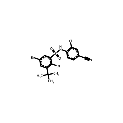 CC(C)(C)c1cc(Br)cc(S(=O)(=O)Nc2ccc(C#N)cc2Cl)c1O